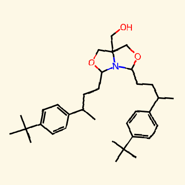 CC(CCC1OCC2(CO)COC(CCC(C)c3ccc(C(C)(C)C)cc3)N12)c1ccc(C(C)(C)C)cc1